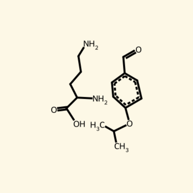 CC(C)Oc1ccc(C=O)cc1.NCCCC(N)C(=O)O